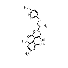 Cc1cc(C)c(C2=C(O)CC(C(C)CSc3ccc(C)nn3)OC2=O)c(C)c1